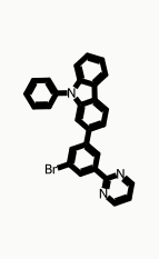 Brc1cc(-c2ccc3c4ccccc4n(-c4ccccc4)c3c2)cc(-c2ncccn2)c1